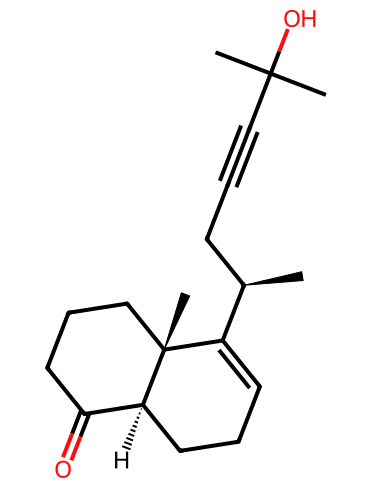 C[C@H](CC#CC(C)(C)O)C1=CCC[C@H]2C(=O)CCC[C@]12C